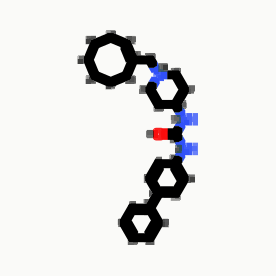 O=C(Nc1ccc(-c2ccccc2)cc1)NC1CCN(C/C2=C/CCCCCC2)CC1